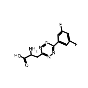 NC(Cc1nnc(-c2cc(F)cc(F)c2)nn1)C(=O)O